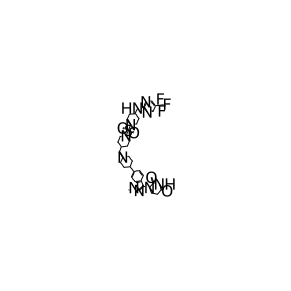 Cn1nc(N2CCC(=O)NC2=O)c2ccc(C3CCN(CC4CCN(S(=O)(=O)N5CCC(Nc6ncc(C(F)(F)F)cn6)CC5)CC4)CC3)cc21